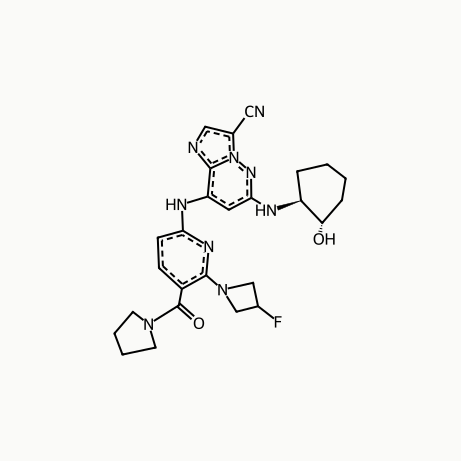 N#Cc1cnc2c(Nc3ccc(C(=O)N4CCCC4)c(N4CC(F)C4)n3)cc(N[C@H]3CCCC[C@@H]3O)nn12